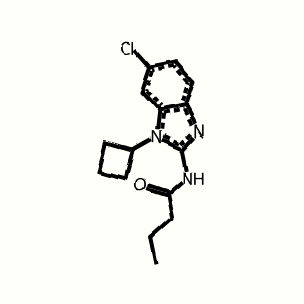 CCCC(=O)Nc1nc2ccc(Cl)cc2n1C1CCC1